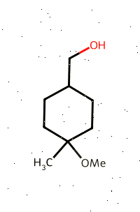 COC1(C)CCC(CO)CC1